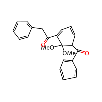 COC1(OC)C(C(=O)Cc2ccccc2)=CC=CC1C(=O)c1ccccc1